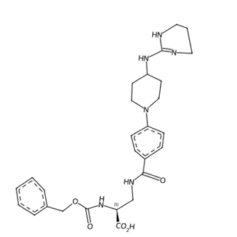 O=C(N[C@@H](CNC(=O)c1ccc(N2CCC(NC3=NCCCN3)CC2)cc1)C(=O)O)OCc1ccccc1